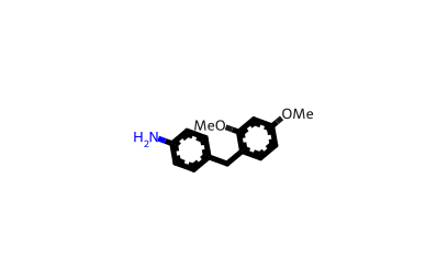 COc1ccc(Cc2ccc(N)cc2)c(OC)c1